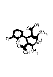 CC1=C(C(=O)O)C(c2cccc(Cl)c2Cl)C(C(=O)O)=C(N)N1